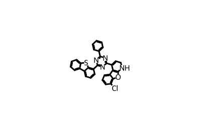 Clc1cccc2c3c(oc12)NCC=C3c1nc(-c2ccccc2)nc(-c2cccc3c2sc2ccccc23)n1